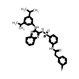 CC(C)c1cc(Nc2nc3ccccc3nc2NS(=O)(=O)c2cccc(NC(=O)Cc3cccc(F)c3)c2)cc(C(C)C)c1